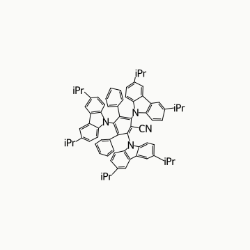 CC(C)c1ccc2c(c1)c1cc(C(C)C)ccc1n2-c1c(C#N)c(-n2c3ccc(C(C)C)cc3c3cc(C(C)C)ccc32)c(-c2ccccc2)c(-n2c3ccc(C(C)C)cc3c3cc(C(C)C)ccc32)c1-c1ccccc1